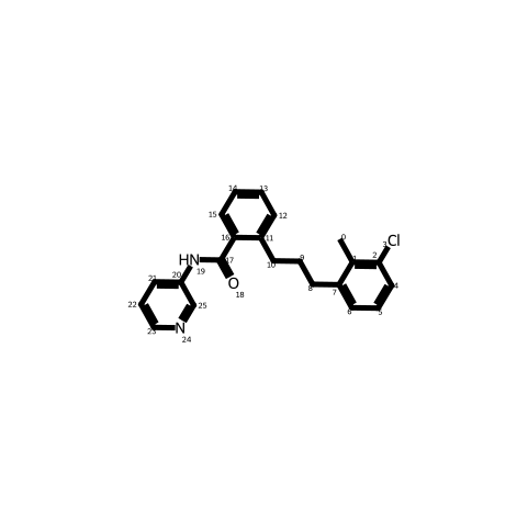 Cc1c(Cl)cccc1CCCc1ccccc1C(=O)Nc1cccnc1